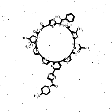 Cc1sc2nc1C(=O)N[C@@H]([C@H](O)c1ccccc1)c1nc(cs1)C(=O)NC(=O)N1C[C@H](O)[C@H](C)[C@H]1c1nc(cs1)-c1nc(cs1)-c1nc(-c3nc(C(=O)N4CCC(N)CC4)cs3)ccc1-c1nc(cs1)C(=O)N[C@H]2CC(N)=O